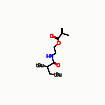 C=C(C)C(=O)OCCNC(=O)C(CC(C)(C)C)C(C)(C)C